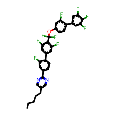 CCCCCc1cnc(-c2ccc(-c3cc(F)c(C(F)(F)Oc4ccc(-c5cc(F)c(F)c(F)c5)c(F)c4)c(F)c3)c(F)c2)nc1